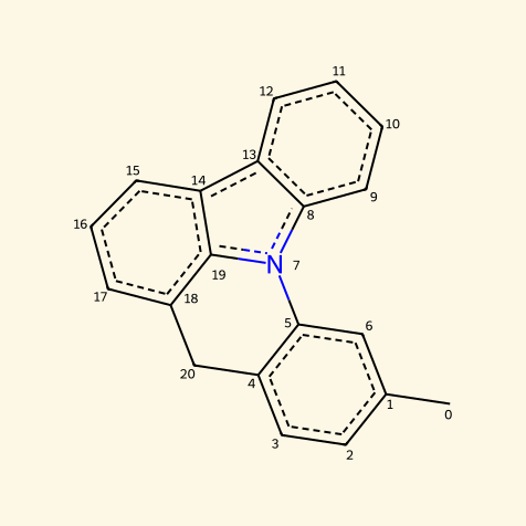 Cc1ccc2c(c1)-n1c3ccccc3c3cccc(c31)C2